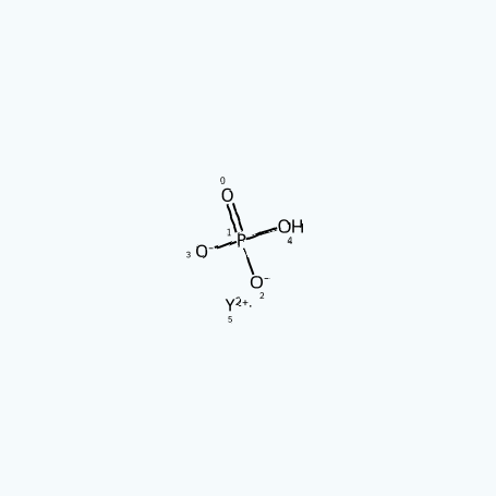 O=P([O-])([O-])O.[Y+2]